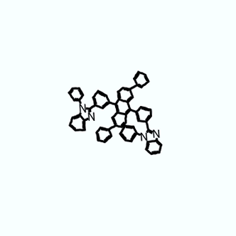 c1ccc(-c2ccc3c(-c4cccc(-c5nc6ccccc6n5-c5ccccc5)c4)c4cc(-c5ccccc5)ccc4c(-c4cccc(-c5nc6ccccc6n5-c5ccccc5)c4)c3c2)cc1